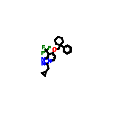 FC(F)(F)c1c(OCC2(c3ccccc3)CCCCC2)ccn2c(CC3CC3)nnc12